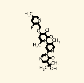 Cc1cnc(COc2cc(C)n(-c3cc(-n4cncc(C(C)(C)O)c4=O)ncc3C)c(=O)c2Cl)c(F)c1